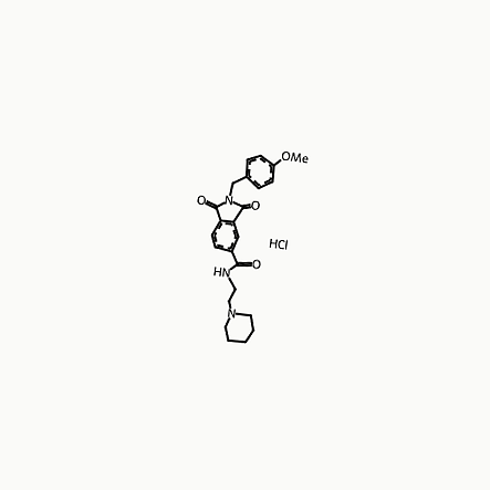 COc1ccc(CN2C(=O)c3ccc(C(=O)NCCN4CCCCC4)cc3C2=O)cc1.Cl